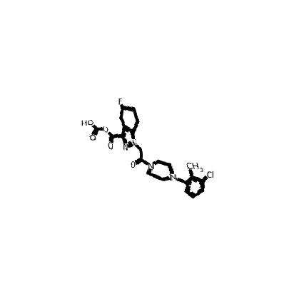 Cc1c(Cl)cccc1N1CCN(C(=O)Cn2nc(C(=O)OC(=O)O)c3c2CCC(F)C3)CC1